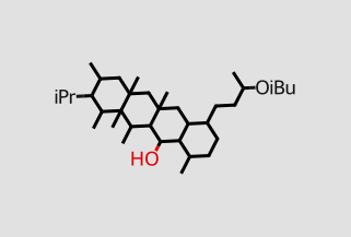 CC(C)COC(C)CCC1CCC(C)C2C(O)C3C(C)C4(C)C(C)C(C(C)C)C(C)CC4(C)CC3(C)CC12